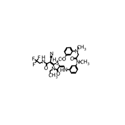 CCn1c(=C(C#N)C(=O)NCC(F)(F)F)sc(=CNc2cccc(N(C)C(=O)CN(C)c3cccc(OC)c3)c2)c1=O